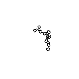 c1ccc(-c2ccc3sc4c(-c5ccnc(-n6c7ccccc7c7cc(-c8ccc9c(c8)c8ccccc8n9-c8ccccc8)ccc76)n5)cccc4c3c2)cc1